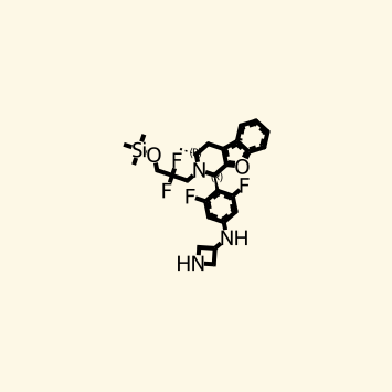 C[C@@H]1Cc2c(oc3ccccc23)[C@@H](c2c(F)cc(NC3CNC3)cc2F)N1CC(F)(F)CO[Si](C)(C)C